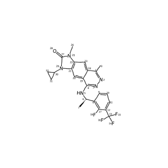 Cc1nnc(N[C@H](C)c2cccc(C(F)(F)F)c2F)c2cc3c(cc12)n(C)c(=O)n3C1CC1